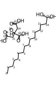 CCCCCCCCCCCCCCCC(O)O.O=C(O)CC(O)(CC(=O)O)C(=O)O